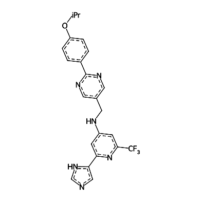 CC(C)Oc1ccc(-c2ncc(CNc3cc(-c4cnc[nH]4)nc(C(F)(F)F)c3)cn2)cc1